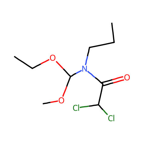 CCCN(C(=O)C(Cl)Cl)C(OC)OCC